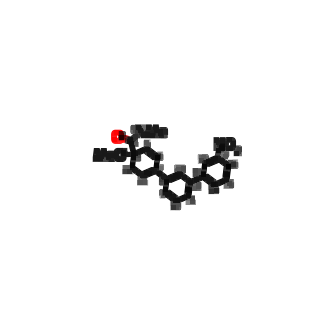 CNC(=O)C1(OC)C=CC(c2cccc(-c3cccc([N+](=O)[O-])c3)c2)=CC1